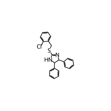 Clc1ccccc1CSC1=NC(c2ccccc2)C(c2ccccc2)N1